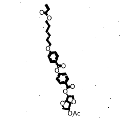 C=CC(=O)OCCCCCCOc1ccc(C(=O)Oc2ccc(C(=O)O[C@H]3COC4C3OC[C@@H]4OC(C)=O)cc2)cc1